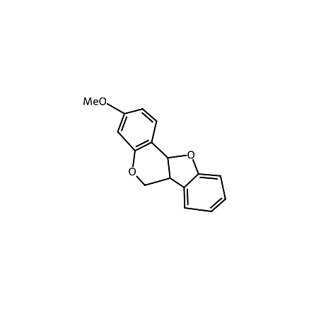 COc1ccc2c(c1)OCC1c3ccccc3OC21